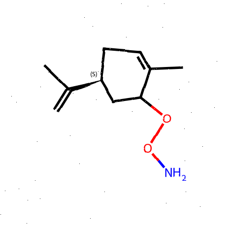 C=C(C)[C@H]1CC=C(C)C(OON)C1